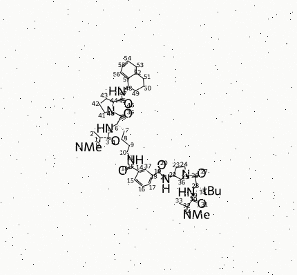 CN[C@@H](C)C(=O)N[C@@H](CCCCNC(=O)c1cccc(C(=O)N[C@H]2CCN(C(=O)[C@@H](NC(=O)[C@H](C)NC)C(C)(C)C)C2)c1)C(=O)N1CCC[C@H]1C(=O)N[C@@H]1CCCc2ccccc21